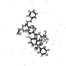 CC(=O)SCCN(CCc1ccccc1)C(=O)N[C@@H](Cc1ccc(S(=O)(=O)c2ccccc2)c([N+](=O)[O-])c1)C(=O)NCCN(C)C